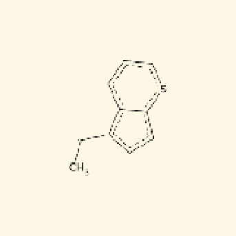 C[CH]c1ccc2scccc1-2